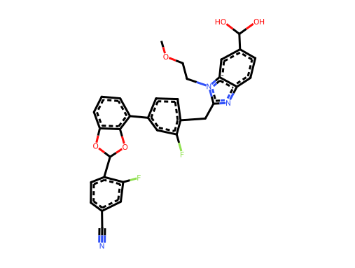 COCCn1c(Cc2ccc(-c3cccc4c3OC(c3ccc(C#N)cc3F)O4)cc2F)nc2ccc(C(O)O)cc21